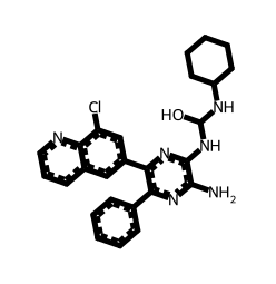 Nc1nc(-c2ccccc2)c(-c2cc(Cl)c3ncccc3c2)nc1NC(O)NC1CCCCC1